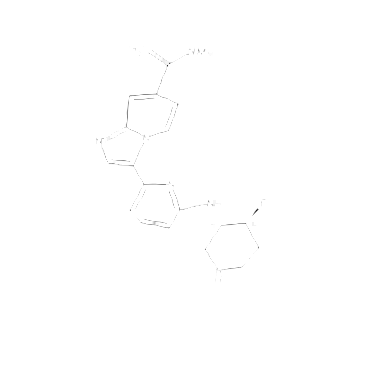 C=C(NC)c1ccn2c(-c3cccc(N[C@H]4CNCC[C@@H]4F)n3)cnc2c1